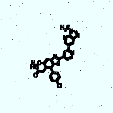 Cc1cc2nc(-c3ccnc(-c4cnc5c(c4)ncn5C)c3)sc2c(-c2ccc(Cl)cc2)c1CC(=O)O